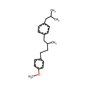 COc1ccc(CCC(C)Cc2ccc(CC(C)C)cc2)cc1